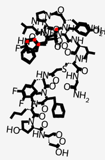 CCCC[C@@H](C(=O)N1C[C@@H](O)C[C@@H]1C(=O)N[C@H](C=O)CC(=O)O)N(C)C(=O)C(Cc1ccccc1)N(C)C(=O)[C@H](Cc1cc(F)c(F)c(F)c1)NC(=O)CSC[C@H](NC(=O)[C@H](CC(C)C)NC(O)[C@H](Cc1ccc(O)cc1)NC(=O)[C@H](Cc1c[nH]c2ccccc12)NC(=O)[C@H]1CCCN1C1OC1[C@H](CCCN)NCC(=O)C(Cc1ccc(F)cc1)N(C)C(=O)[C@@H](N)C(C)C)C(=O)NCC(N)=O